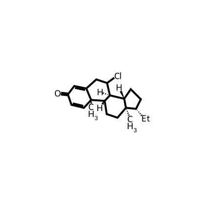 CC[C@H]1CC[C@H]2[C@@H]3C(Cl)CC4=CC(=O)C=C[C@]4(C)[C@H]3CC[C@]12C